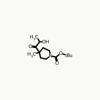 CC(O)C(=O)C1(C)CCN(C(=O)OC(C)(C)C)CC1